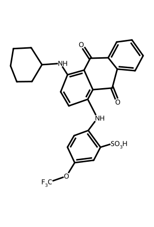 O=C1c2ccccc2C(=O)c2c(NC3CCCCC3)ccc(Nc3ccc(OC(F)(F)F)cc3S(=O)(=O)O)c21